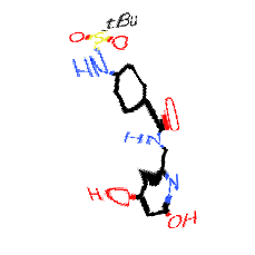 CC(C)(C)S(=O)(=O)NC1CCC(C(=O)NCc2cc(O)cc(O)n2)CC1